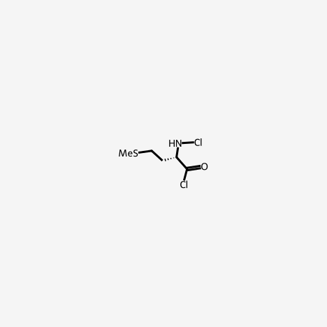 CSCC[C@H](NCl)C(=O)Cl